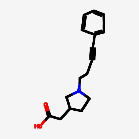 O=C(O)CC1CCN(CCC#Cc2ccccc2)C1